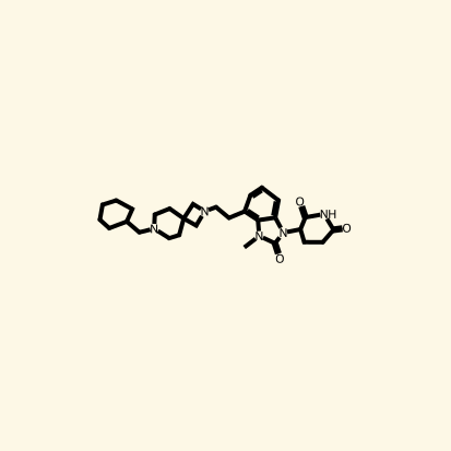 Cn1c(=O)n(C2CCC(=O)NC2=O)c2cccc(CCN3CC4(CCN(CC5CCCCC5)CC4)C3)c21